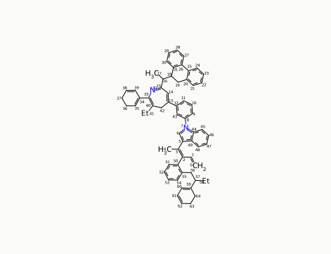 C=C/C(=C(/C)c1cn(-c2cccc(C3=CC(C(C)C4Cc5ccccc5-c5ccccc54)=NC(C4=CCCC=C4)=C(CC)C3)c2)c2ccccc12)c1ccccc1CC(CC)C1=CC=CCC1